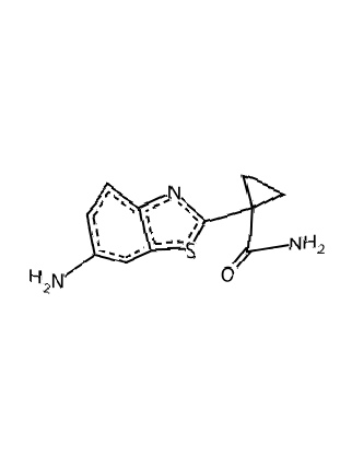 NC(=O)C1(c2nc3ccc(N)cc3s2)CC1